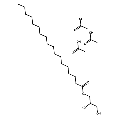 CC(=O)O.CC(=O)O.CC(=O)O.CCCCCCCCCCCCCCCCCC(=O)OCC(O)CO